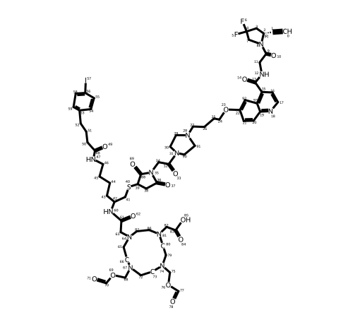 C#C[C@H]1CC(F)(F)CN1C(=O)CNC(=O)c1ccnc2ccc(OCCCCN3CCN(C(=O)CN4C(=O)CC(SCC(CCCCNC(=O)CCCc5ccc(I)cc5)NC(=O)CN5CCN(COC=O)CCN(COC=O)CCN(CC(=O)O)CC5)C4=O)CC3)cc12